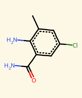 Cc1cc(Cl)cc(C(N)=O)c1N